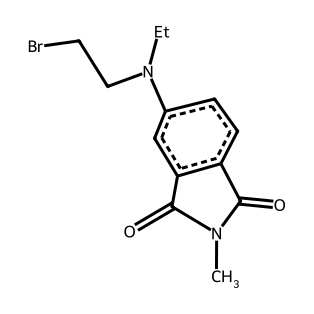 CCN(CCBr)c1ccc2c(c1)C(=O)N(C)C2=O